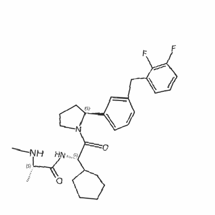 CN[C@@H](C)C(=O)N[C@H](C(=O)N1CCC[C@H]1c1cccc(Cc2cccc(F)c2F)c1)C1CCCCC1